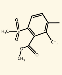 COC(=O)c1c(S(C)(=O)=O)ccc(I)c1C